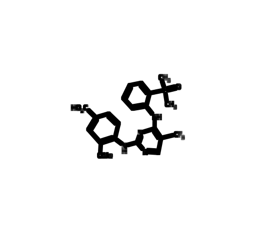 COc1cc(C(=O)O)ccc1Nc1ncc(C(F)(F)F)c(Nc2ccccc2P(C)(C)=O)n1